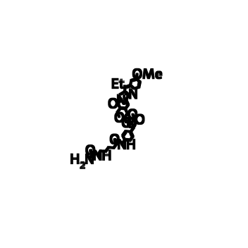 CCc1c2c(nc3ccc(OC)cc13)-c1cc3c(c(=O)n1C2)COC(=O)C3OC(=O)OCc1ccc(NC(=O)CCCCNC(N)=O)cc1